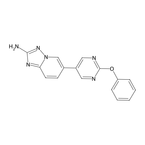 Nc1nc2ccc(-c3cnc(Oc4ccccc4)nc3)cn2n1